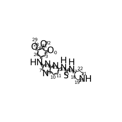 COc1cc(Nc2cnc3ccc(NC(=S)NC4CCNCC4)nc3n2)cc(OC)c1OC